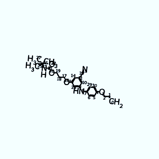 C=CCOc1ccc(Nc2cc(C#N)cc(OCCCOC(=O)NC(C)(C)C)c2)cc1